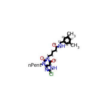 CCCCCn1c(=O)n(CCCCC(=O)NCc2cc(C)cc(C)c2)c(=O)c2[nH]c(Cl)nc21